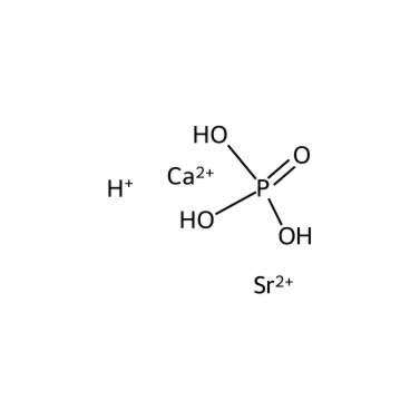 O=P(O)(O)O.[Ca+2].[H+].[Sr+2]